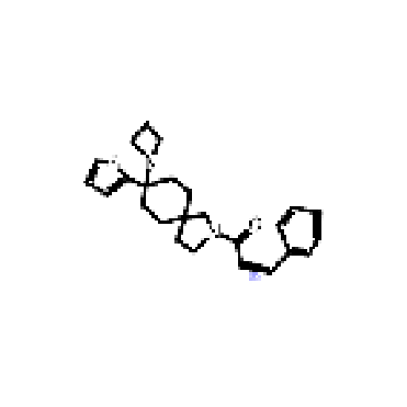 O=C(/C=C\c1ccccc1)N1CCC2(CCC(c3cccs3)(N3CCC3)CC2)C1